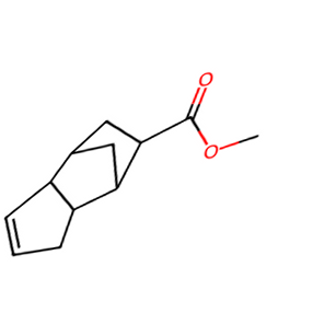 COC(=O)C1CC2CC1C1CC=CC21